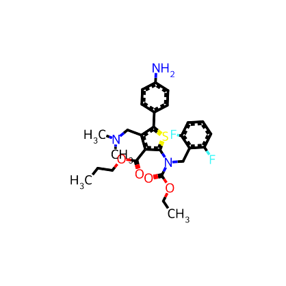 CCCOC(=O)c1c(N(Cc2c(F)cccc2F)C(=O)OCC)sc(-c2ccc(N)cc2)c1CN(C)C